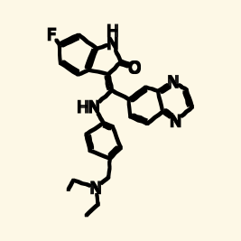 CCN(CC)Cc1ccc(NC(=C2C(=O)Nc3cc(F)ccc32)c2ccc3nccnc3c2)cc1